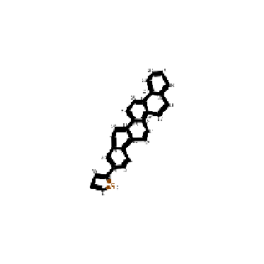 c1csc(-c2ccc3c(ccc4c3ccc3c5ccc6ccccc6c5ccc43)c2)c1